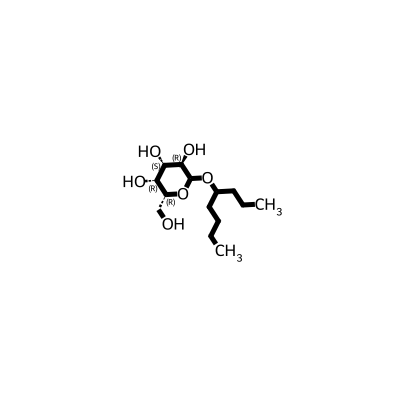 CCCCC(CCC)OC1O[C@H](CO)[C@H](O)[C@H](O)[C@H]1O